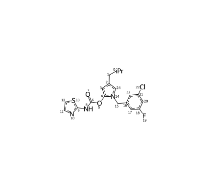 CC(C)Cc1cc(OC(=O)Nc2nccs2)n(Cc2cc(F)cc(Cl)c2)c1